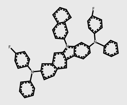 Fc1ccc(N(c2ccccc2)c2ccc3cc4c5ccc(N(c6ccccc6)c6ccc(F)cc6)cc5n(-c5ccc6ccccc6c5)c4cc3c2)cc1